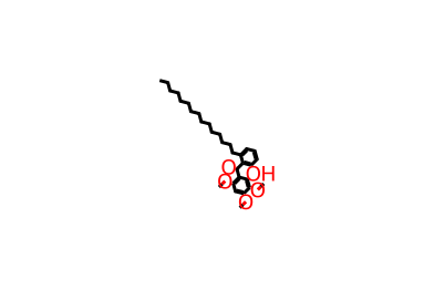 CCCCCCCCCCCCCCCc1cccc(O)c1C(=O)c1cc(OC)c(OC)cc1OC